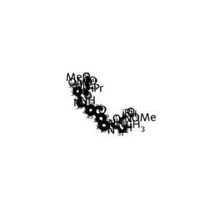 CC[C@H](C)C(NC(=O)OC)C(=O)N1C(c2nc3ccc4cc5c(cc4c3[nH]2)OCc2cc(-c3cnc(C4C[C@H](COC)CN4C(=O)[C@@H](NC(=O)OC)C(C)C)[nH]3)ccc2-5)CC[C@@H]1C